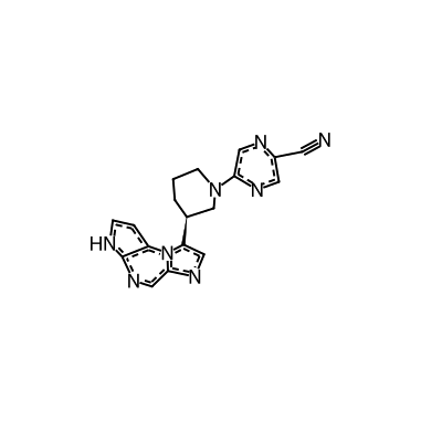 N#Cc1cnc(N2CCC[C@H](c3cnc4cnc5[nH]ccc5n34)C2)cn1